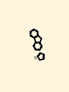 C1=CCC=C1.[Ti].c1ccc2c(c1)Cc1ccccc1-2